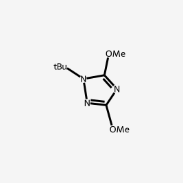 COc1nc(OC)n(C(C)(C)C)n1